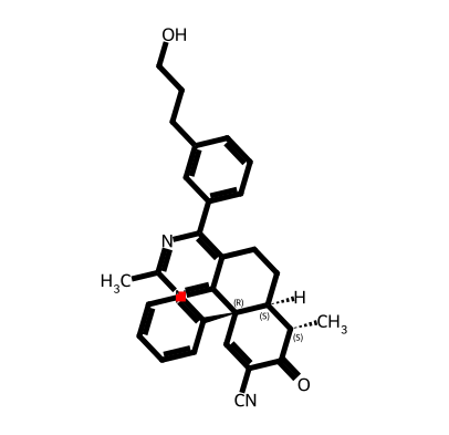 Cc1nc(-c2cccc(CCCO)c2)c2c(n1)[C@@]1(c3ccccc3)C=C(C#N)C(=O)[C@@H](C)[C@@H]1CC2